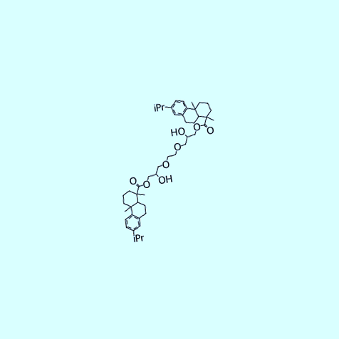 CC(C)c1ccc2c(c1)CCC1C(C)(C(=O)OCC(O)COCCOCC(O)COC(=O)C3(C)CCCC4(C)c5ccc(C(C)C)cc5CCC34)CCCC21C